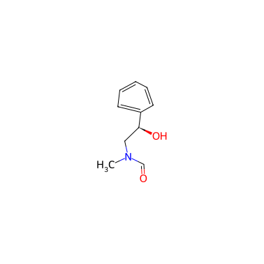 CN(C=O)C[C@H](O)c1ccccc1